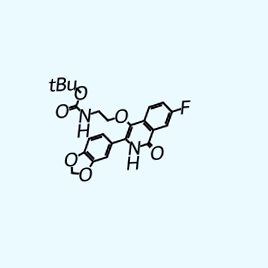 CC(C)(C)OC(=O)NCCOc1c(-c2ccc3c(c2)OCO3)[nH]c(=O)c2cc(F)ccc12